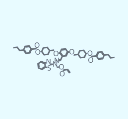 C=CC(=O)OCN(/N=C/c1cc(OCC2CCC(OC(=O)c3ccc(CCC)cc3)CC2)ccc1OCC1CCC(OC(=O)c2ccc(CCC)cc2)CC1)c1nc2ccccc2s1